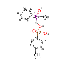 Cc1ccc(S(=O)(=O)OC[P@@](=O)(c2ccccc2)C(C)(C)C)cc1